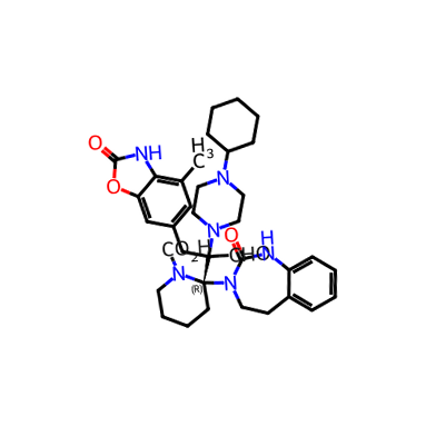 Cc1cc(CC(C=O)(N2CCN(C3CCCCC3)CC2)[C@@]2(N3CCc4ccccc4NC3=O)CCCCN2C(=O)O)cc2oc(=O)[nH]c12